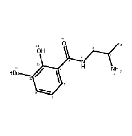 CC(N)CNC(=O)c1cccc(C(C)(C)C)c1O